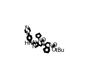 CN1CCN(c2ccc(Nc3ncc4c(n3)N(C3CCCC3)C(=O)N(C3CCN(C(=O)OC(C)(C)C)c5ccccc53)C4)cc2)CC1